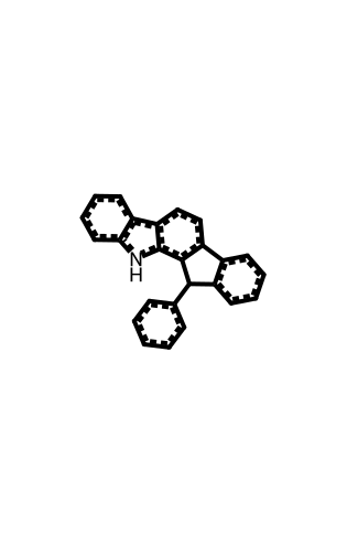 c1ccc(C2c3ccccc3-c3ccc4c([nH]c5ccccc54)c32)cc1